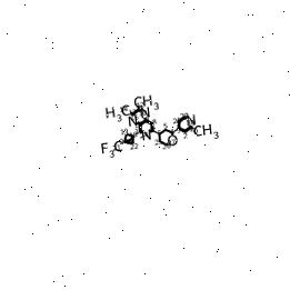 Cc1cc([C@@H]2C[C@H](c3cc4nc(C)c(C)nc4c([C@]45C[C@@](C(F)(F)F)(C4)C5)n3)CCO2)ccn1